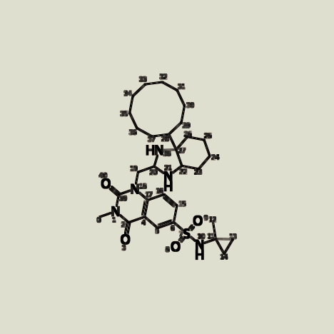 Cn1c(=O)c2cc(S(=O)(=O)NC3(C)CC3)ccc2n(CC2NC3CCCCC3(C3CCCCCCCCC3)N2)c1=O